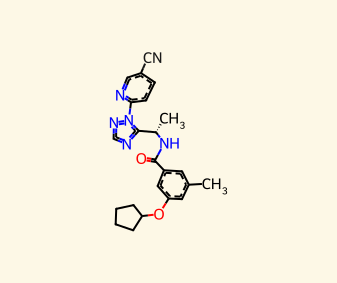 Cc1cc(OC2CCCC2)cc(C(=O)N[C@@H](C)c2ncnn2-c2ccc(C#N)cn2)c1